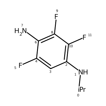 CC(C)Nc1cc(F)c(N)c(F)c1F